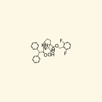 O=C(O)C1N(C(=O)C(c2ccccc2)c2ccccc2)CC2CCC1(C(=O)OCc1c(F)cccc1F)N2